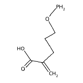 C=C(CCCOP)C(=O)O